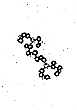 c1ccc2c(c1)oc1cccc(-c3nc(-c4ccc5ccc6oc7ccccc7c6c5c4)nc(-c4ccc(-c5cccc6oc7c(-c8cccc9c8ccc8ccc(-c%10nc(-c%11ccc%12ccc%13oc%14ccccc%14c%13c%12c%11)nc(-c%11ccc(-c%12cccc%13oc%14ccccc%14c%12%13)c%12ccccc%11%12)n%10)cc89)cccc7c56)c5ccccc45)n3)c12